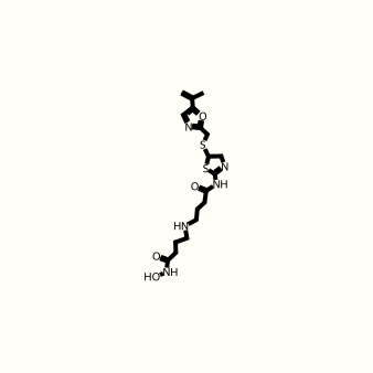 C=C(C)c1cnc(CSC2CN=C(NC(=O)CCCNCCCC(=O)NO)S2)o1